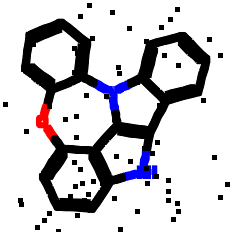 c1cc2[nH]c3c4ccccc4n4c5ccccc5oc(c1)c2c34